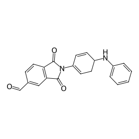 O=Cc1ccc2c(c1)C(=O)N(C1=CCC(Nc3ccccc3)C=C1)C2=O